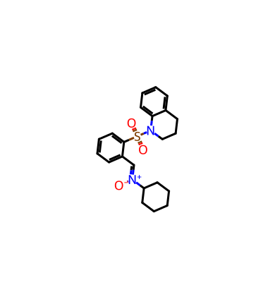 O=S(=O)(c1ccccc1C=[N+]([O-])C1CCCCC1)N1CCCc2ccccc21